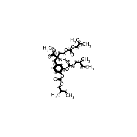 CCC(C)COC(=O)Oc1ccc(C[C@](N)(CCOC(=O)OCC(C)C)C(=O)OC)cc1OC(=O)OCC(C)CC